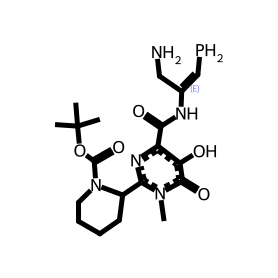 Cn1c(C2CCCCN2C(=O)OC(C)(C)C)nc(C(=O)N/C(=C/P)CN)c(O)c1=O